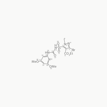 CCOC(=O)c1c(Br)nn(C)c1S(=O)(=O)NC(=O)Nc1cc(OC)cc(OC)n1